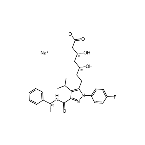 CC(C)c1c(C(=O)N[C@H](C)c2ccccc2)nn(-c2ccc(F)cc2)c1CC[C@@H](O)C[C@@H](O)CC(=O)[O-].[Na+]